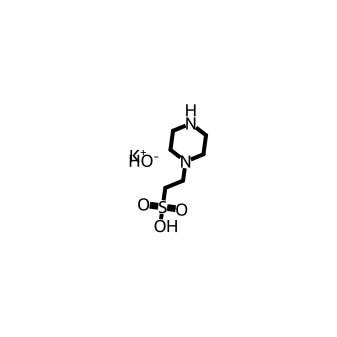 O=S(=O)(O)CCN1CCNCC1.[K+].[OH-]